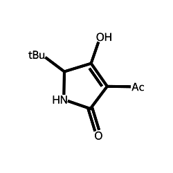 CC(=O)C1=C(O)C(C(C)(C)C)NC1=O